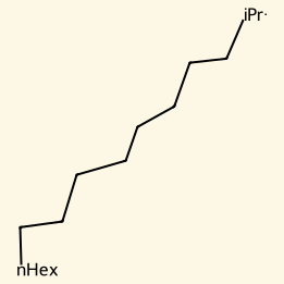 CCCCCCCCCCCCCC[C](C)C